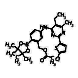 CCc1c(C)nc(-c2ccc(Cl)s2)nc1Nc1ccc(B2OC(C)(C)C(C)(C)O2)c(COC(C)=O)c1